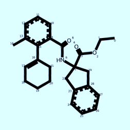 CCOC(=O)C1(NC(=O)c2cccc(C)c2C2=CCCCC2)Cc2ccccc2C1